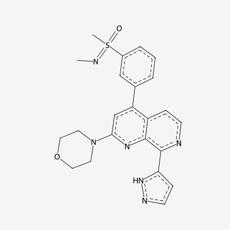 CN=S(C)(=O)c1cccc(-c2cc(N3CCOCC3)nc3c(-c4ccn[nH]4)nccc23)c1